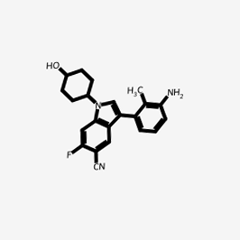 Cc1c(N)cccc1-c1cn(C2CCC(O)CC2)c2cc(F)c(C#N)cc12